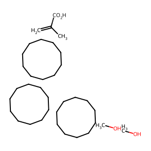 C1CCCCCCCCC1.C1CCCCCCCCC1.C1CCCCCCCCC1.C=C(C)C(=O)O.CO.CO